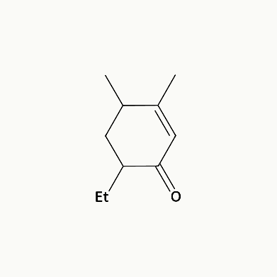 CCC1CC(C)C(C)=CC1=O